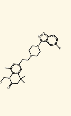 COCN1C(=O)CC(C)(C)c2cc(CCN3CCN(c4nsc5ccc(F)cc45)CC3)cc(C)c21